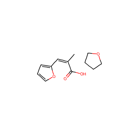 C1CCOC1.CC(=Cc1ccco1)C(=O)O